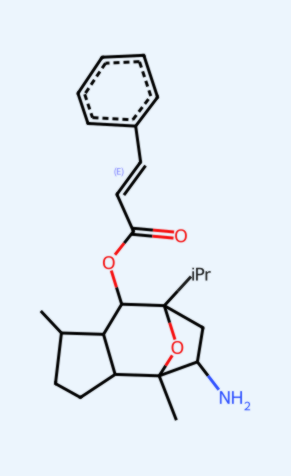 CC1CCC2C1C(OC(=O)/C=C/c1ccccc1)C1(C(C)C)CC(N)C2(C)O1